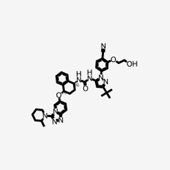 CC1CCCCN1c1nnc2ccc(O[C@@H]3CC[C@H](NC(=O)Nc4cc(C(C)(C)C)nn4-c4ccc(C#N)c(OCCO)c4)c4ccccc43)cn12